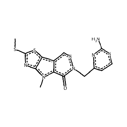 CSc1nc2c(s1)c1cnn(Cc3ccnc(N)n3)c(=O)c1n2C